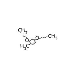 CCCCCOc1ccc(C)c(OCCCCC)c1